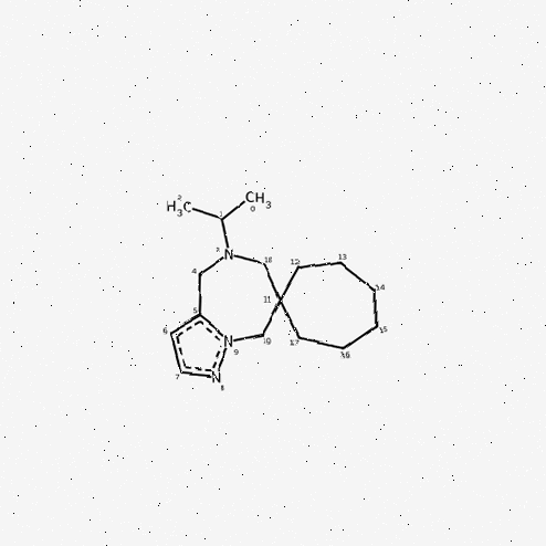 CC(C)N1Cc2ccnn2CC2(CCCCCC2)C1